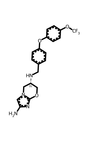 Nc1cn2c(n1)OC[C@@H](NCc1ccc(Oc3ccc(OC(F)(F)F)cc3)cc1)C2